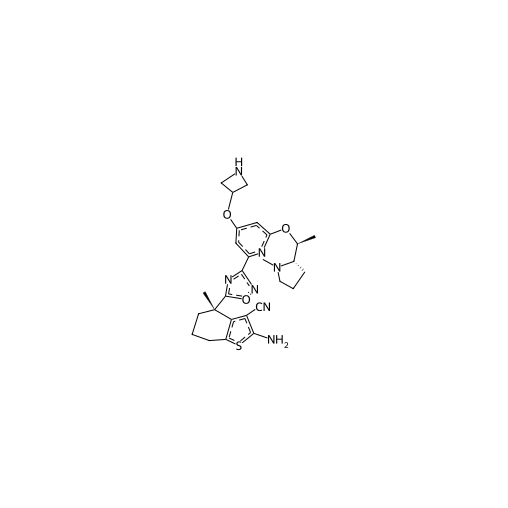 C[C@H](Oc1cc(OC2CNC2)cc(-c2noc([C@@]3(C)CCCc4sc(N)c(C#N)c43)n2)n1)[C@@H]1CCCN1C